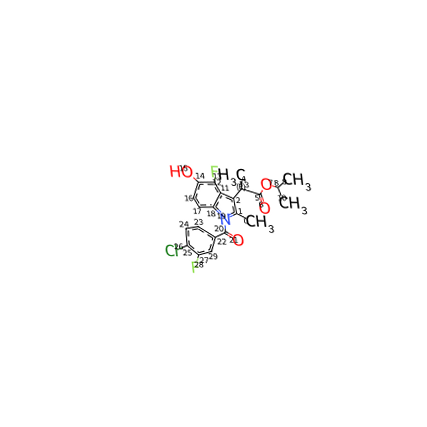 Cc1c([C@@H](C)C(=O)OC(C)C)c2c(F)c(O)ccc2n1C(=O)c1ccc(Cl)c(F)c1